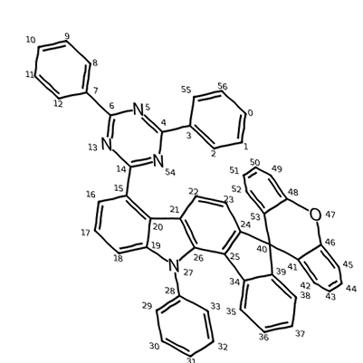 c1ccc(-c2nc(-c3ccccc3)nc(-c3cccc4c3c3ccc5c(c3n4-c3ccccc3)-c3ccccc3C53c4ccccc4Oc4ccccc43)n2)cc1